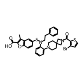 Cc1c(C(=O)O)oc2ccc(SN(CCc3ccccc3)c3ccccc3N3CCC4(CC3)CN(C(=O)c3sccc3Br)C4)cc12